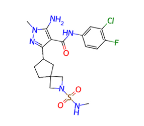 CNS(=O)(=O)N1CC2(CCC(c3nn(C)c(N)c3C(=O)Nc3ccc(F)c(Cl)c3)C2)C1